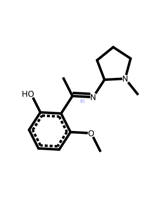 COc1cccc(O)c1/C(C)=N/C1CCCN1C